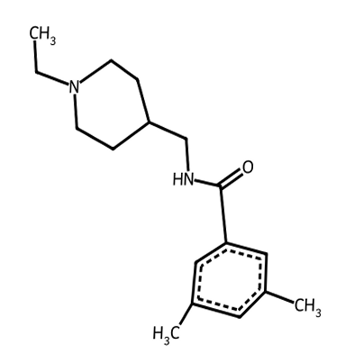 CCN1CCC(CNC(=O)c2cc(C)cc(C)c2)CC1